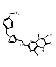 Cc1nc(NCc2cnn(Cc3ccc(OC(F)(F)F)cc3)c2)nc2c1NC(=O)[C@H](C(C)C)N2C